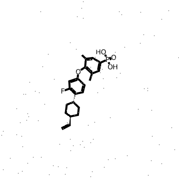 C=C[C@H]1CC[C@H](c2ccc(Oc3c(C)cc(P(=O)(O)O)cc3C)cc2F)CC1